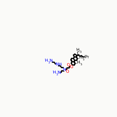 CC(C)CCCC(C)C1CCC2C3CC=C4CC(OC(=O)CCC(=O)N(CCCN)CCCCNCCCN)CCC4(C)C3CCC12C